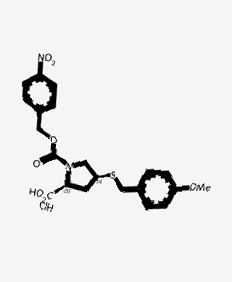 COc1ccc(CS[C@H]2C[C@@H](C(=O)O)N(C(=O)OCc3ccc([N+](=O)[O-])cc3)C2)cc1.Cl